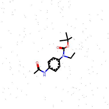 CCN(C(=O)OC(C)(C)C)c1ccc(NC(C)=O)cc1